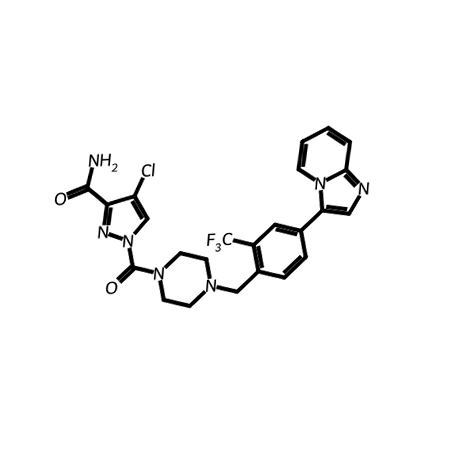 NC(=O)c1nn(C(=O)N2CCN(Cc3ccc(-c4cnc5ccccn45)cc3C(F)(F)F)CC2)cc1Cl